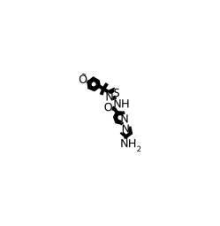 COc1ccc(C(C)(C)c2csc(NC(=O)c3ccc(N4CCC(N)C4)nc3)n2)cc1